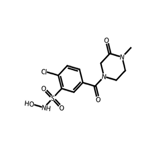 CN1CCN(C(=O)c2ccc(Cl)c(S(=O)(=O)NO)c2)CC1=O